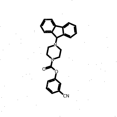 N#Cc1cccc(OC(=O)N2CCN(C3c4ccccc4-c4ccccc43)CC2)c1